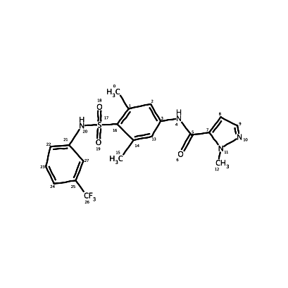 Cc1cc(NC(=O)c2ccnn2C)cc(C)c1S(=O)(=O)Nc1cccc(C(F)(F)F)c1